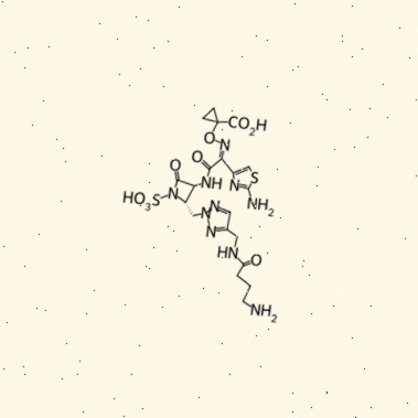 NCCCC(=O)NCc1cnn(C[C@H]2C(NC(=O)/C(=N\OC3(C(=O)O)CC3)c3csc(N)n3)C(=O)N2S(=O)(=O)O)n1